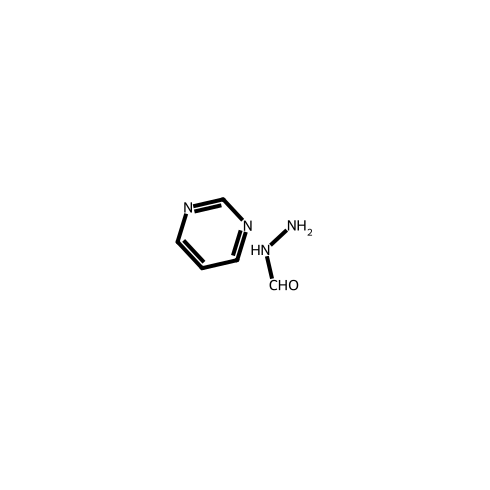 NNC=O.c1cncnc1